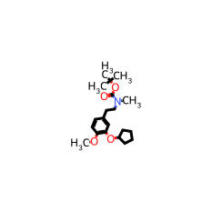 COc1ccc(CCN(C)C(=O)OC(C)(C)C)cc1OC1CCCC1